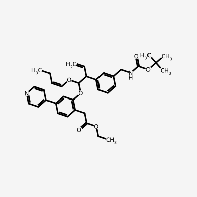 C=CC(c1cccc(CNC(=O)OC(C)(C)C)c1)C(O/C=C\CC)Oc1cc(-c2ccncc2)ccc1CC(=O)OCC